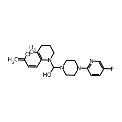 C=C(Cl)/C=C\C1=C(C)CCCN1C(O)N1CCN(c2ccc(F)cn2)CC1